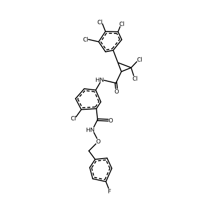 O=C(NOCc1ccc(F)cc1)c1cc(NC(=O)C2C(c3cc(Cl)c(Cl)c(Cl)c3)C2(Cl)Cl)ccc1Cl